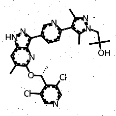 Cc1cc2[nH]nc(-c3ccc(-c4c(C)nn(CC(C)(C)O)c4C)nc3)c2nc1O[C@H](C)c1c(Cl)cncc1Cl